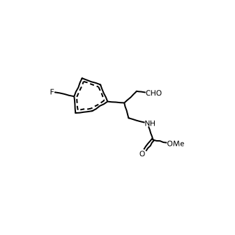 COC(=O)NCC(CC=O)c1ccc(F)cc1